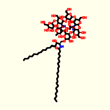 CCCCCCCCCCCCC/C=C/[C@@H](O)[C@H](CO[C@@H]1OC(CO)[C@@H](O[C@@H]2OC(CO)[C@H](O)[C@H](O[C@@H]3OC(CO)[C@@H](O[C@@H]4OC(CO)[C@H](O)[C@H](O[C@@H]5OC(CO)[C@@H](O[C@@H]6OC(CO)[C@H](O)[C@H](O)C6O)[C@H](O[C@H]6OC(C)[C@@H](O)C(O)[C@@H]6O)C5NC(C)=O)C4O)[C@H](O)C3NC(C)=O)C2O)[C@H](O)C1O)NC(=O)CCCCCCCCCCCCCCCCCCCCC